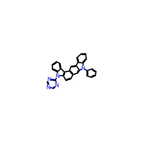 c1ccc(-n2c3ccccc3c3cc4c(ccc5c4c4ccccc4n5-c4ncncn4)cc32)cc1